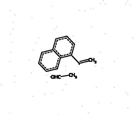 C=[C]c1cccc2ccccc12.C[C]=O